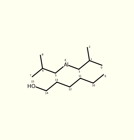 CC(C)[CH2][Al][CH2]C(C)C.CCCCCCO